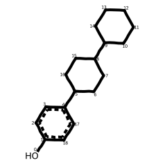 Oc1ccc(C2CCC(C3CCCCC3)CC2)cc1